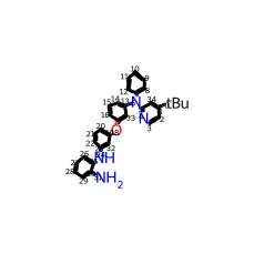 CC(C)(C)c1ccnc(N(c2ccccc2)c2cccc(Oc3cccc(Nc4ccccc4N)c3)c2)c1